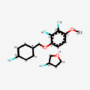 CCOc1ccc(OCC2CCC(F)CC2)c(F)c1F.FC1CCOC1